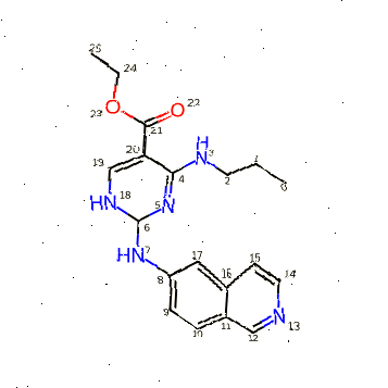 CCCNC1=NC(Nc2ccc3cnccc3c2)NC=C1C(=O)OCC